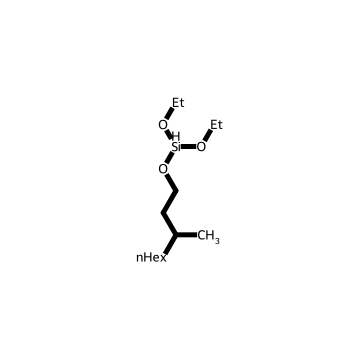 CCCCCCC(C)CCO[SiH](OCC)OCC